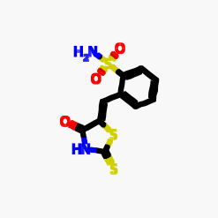 NS(=O)(=O)c1ccccc1/C=C1\SC(=S)NC1=O